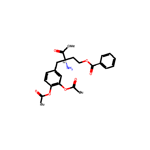 CCC(C)C(=O)Oc1ccc(C[C@](N)(CCOC(=O)c2ccccc2)C(=O)OC)cc1OC(=O)C(C)CC